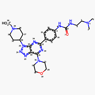 CN(C)CCNC(=O)Nc1ccc(-c2nc(N3CCOCC3)c3nnn(C4CCN(C(=O)O)CC4)c3n2)cc1